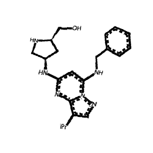 CC(C)c1cnn2c(NCc3ccccc3)cc(N[C@H]3CN[C@@H](CO)C3)nc12